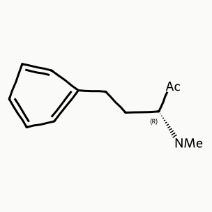 CN[C@H](CCc1ccccc1)C(C)=O